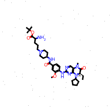 CC[C@@H]1C(=O)N(C)c2cnc(Nc3ccc(C(=O)NC4CCN(CCCC(N)C(=O)OC(C)(C)C)CC4)cc3OC)nc2N1C1CCCC1